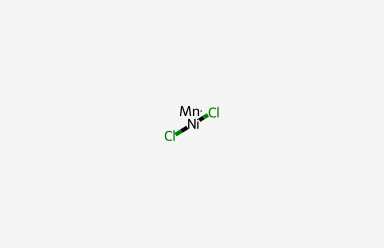 [Cl][Ni][Cl].[Mn]